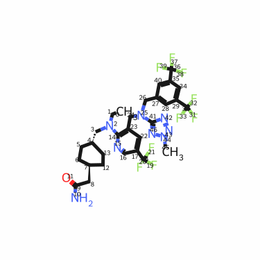 CCN(C[C@H]1CC[C@H](CC(N)=O)CC1)c1ncc(C(F)(F)F)cc1CN(Cc1cc(C(F)(F)F)cc(C(F)(F)F)c1)c1nnn(C)n1